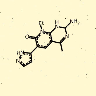 CCn1c2c(cc(-c3ccn[nH]3)c1=O)C(C)=NC(N)N2